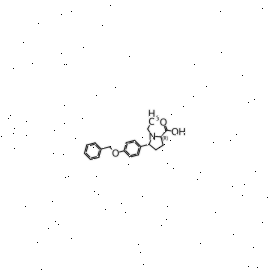 CCN1C(c2ccc(OCc3ccccc3)cc2)CC[C@@H]1C(=O)O